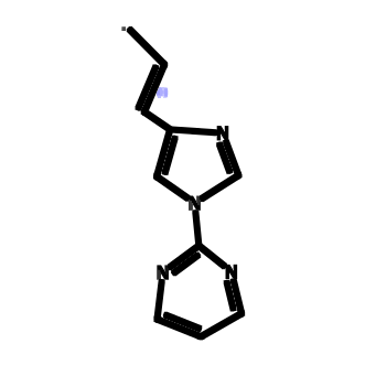 [CH2]/C=C/c1cn(-c2ncccn2)cn1